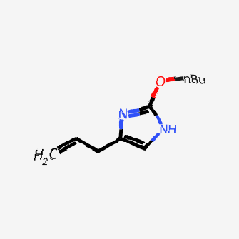 C=CCc1c[nH]c(OCCCC)n1